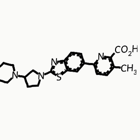 Cc1ccc(-c2ccc3nc(N4CCC(N5CCCCC5)C4)sc3c2)nc1C(=O)O